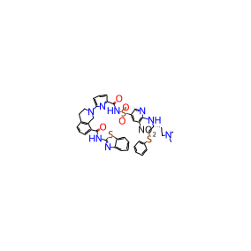 CN(C)CC[C@H](CSc1ccccc1)Nc1ncc(S(=O)(=O)NC(=O)c2cccc(N3CCc4cccc(C(=O)Nc5nc6ccccc6s5)c4C3)n2)cc1[N+](=O)[O-]